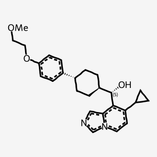 COCCOc1ccc([C@H]2CC[C@H]([C@H](O)c3c(C4CC4)ccn4cncc34)CC2)cc1